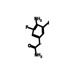 NC(=O)[CH]c1cc(F)c(N)c(I)c1